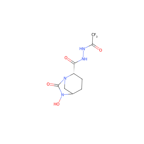 O=C(NNC(=O)C(F)(F)F)[C@@H]1CCC2CN1C(=O)N2O